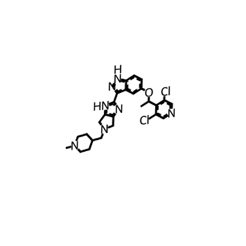 CC(Oc1ccc2[nH]nc(-c3nc4c([nH]3)CN(CC3CCN(C)CC3)C4)c2c1)c1c(Cl)cncc1Cl